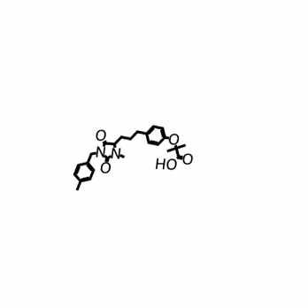 Cc1ccc(CN2C(=O)C(CCCc3ccc(OC(C)(C)C(=O)O)cc3)N(C)C2=O)cc1